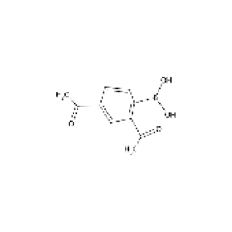 CC(=O)c1ccc(B(O)O)c(C(C)=O)c1